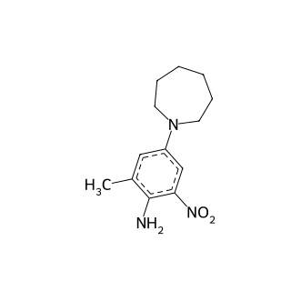 Cc1cc(N2CCCCCC2)cc([N+](=O)[O-])c1N